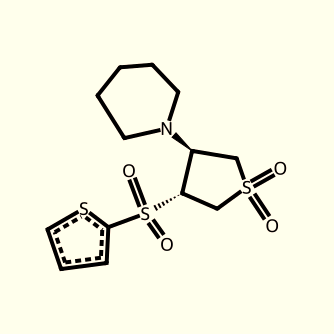 O=S1(=O)C[C@H](N2CCCCC2)[C@@H](S(=O)(=O)c2cccs2)C1